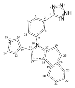 c1cc(-c2nn[nH]n2)cc(-n2c(-c3ccsc3)cc3c4ccccc4ccc32)c1